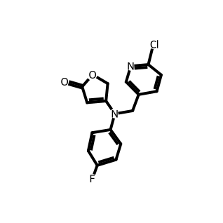 O=C1C=C(N(Cc2ccc(Cl)nc2)c2ccc(F)cc2)CO1